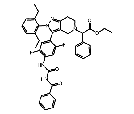 CCOC(=O)C(c1ccccc1)N1CCc2nn(-c3c(CC)cccc3CC)c(-c3cc(F)c(NC(=O)NC(=O)c4ccccc4)cc3F)c2C1